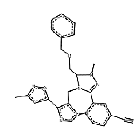 C#Cc1ccc2c(c1)C1=NN(C)C(COCc3ccccc3)N1Cc1c(-c3cc(C)no3)ncn1-2